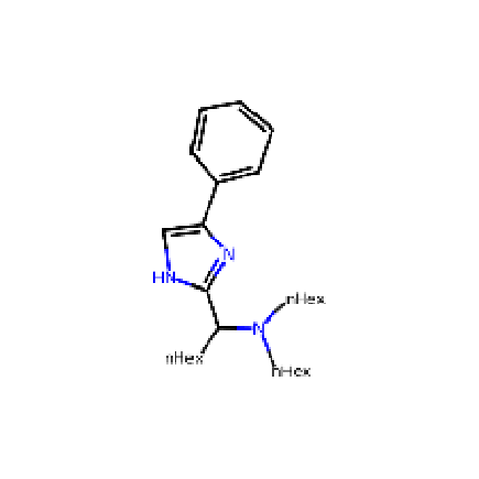 CCCCCCC(c1nc(-c2ccccc2)c[nH]1)N(CCCCCC)CCCCCC